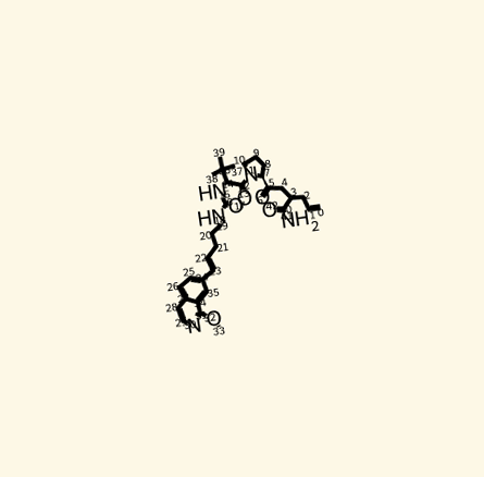 C=CCC(CC(=O)[C@@H]1CCCN1C(=O)[C@@H](NC(=O)NCCC/C=C/c1ccc2ccnc(OC)c2c1)C(C)(C)C)C(N)=O